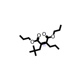 CCCOC(=O)/C(CCC)=C(/CC(C)(C)C)C(=O)OCCC